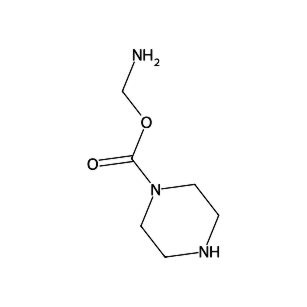 NCOC(=O)N1CCNCC1